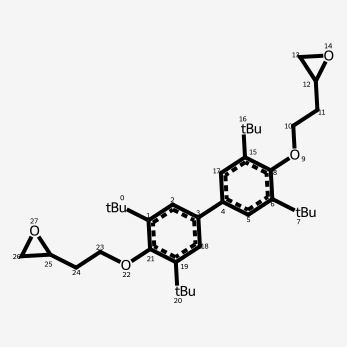 CC(C)(C)c1cc(-c2cc(C(C)(C)C)c(OCCC3CO3)c(C(C)(C)C)c2)cc(C(C)(C)C)c1OCCC1CO1